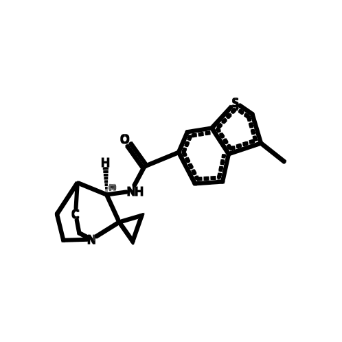 Cc1csc2cc(C(=O)N[C@@H]3C4CCN(CC4)C34CC4)ccc12